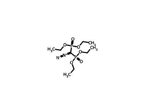 CCOP(=O)(OCC)C(=[N+]=[N-])P(=O)(OCC)OCC